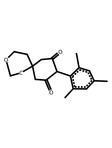 Cc1cc(C)c(C2C(=O)CC3(CCOCC3)CC2=O)c(C)c1